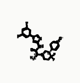 C[C@@H](C(=O)Nc1cn(-c2cc(F)cc(F)c2)cn1)N1CCC(F)(F)[C@@H](c2cc[n+]([O-])cc2)C1